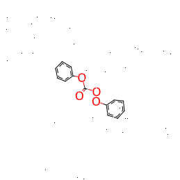 O=C(OOc1ccccc1)Oc1ccccc1